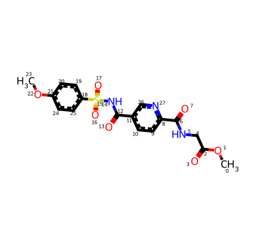 COC(=O)CNC(=O)c1ccc(C(=O)NS(=O)(=O)c2ccc(OC)cc2)cn1